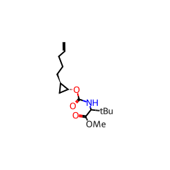 C=CCCC[C@@H]1C[C@H]1OC(=O)NC(C(=O)OC)C(C)(C)C